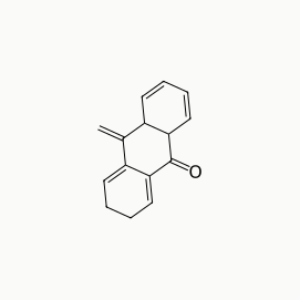 C=C1C2=CCCC=C2C(=O)C2C=CC=CC12